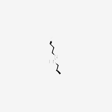 C=CCN[N]CCC=S